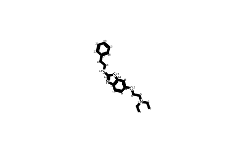 CCN(CC)CCOc1ccc2nc(SCCc3ccccc3)sc2c1